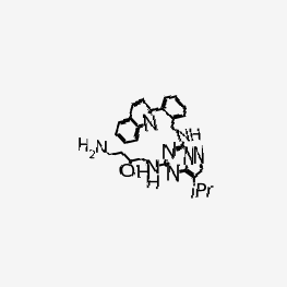 CC(C)c1cnn2c(NCc3ccccc3-c3ccc4ccccc4n3)nc(NCC(O)CCN)nc12